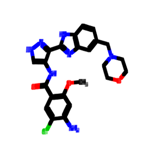 COc1cc(N)c(Cl)cc1C(=O)Nc1c[nH]nc1-c1nc2cc(CN3CCOCC3)ccc2[nH]1